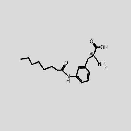 N[C@@H](Cc1cccc(NC(=O)CCCCCCI)c1)C(=O)O